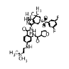 CN(C)CCNc1ccc(C(=O)Nc2n[nH]c3c2CN(S(=O)(=O)c2cc(F)cc(F)c2)CC3(C)C)c(NC(=O)C2CCOC2)c1